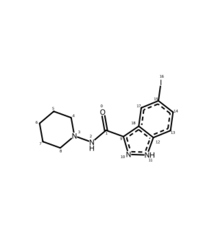 O=C(NN1CCCCC1)c1n[nH]c2ccc(I)cc12